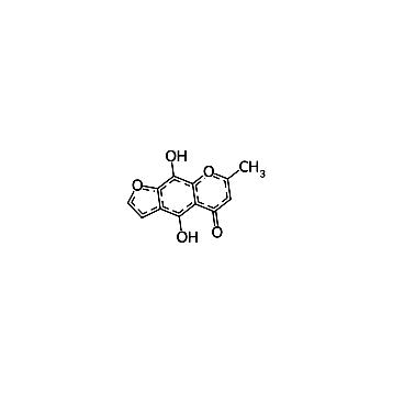 Cc1cc(=O)c2c(O)c3ccoc3c(O)c2o1